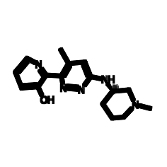 Cc1cc(N[C@@H]2CCCN(C)C2)nnc1-c1ncccc1O